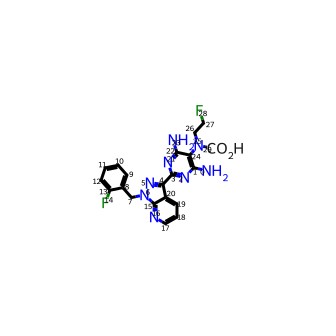 Nc1nc(-c2nn(Cc3ccccc3F)c3ncccc23)nc(N)c1N(CCF)C(=O)O